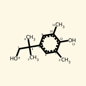 Cc1cc(C(C)(C)CO)cc(C)c1O